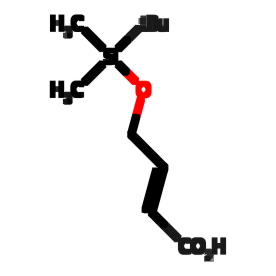 CC(C)(C)[Si](C)(C)OCC=CC(=O)O